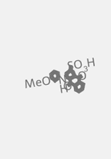 COc1cccc(Nc2cc(S(=O)(=O)O)cc3c2C(=O)c2ccccc2C3=O)c1